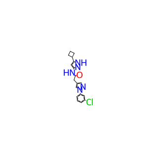 O=C(Cc1cnn(-c2cccc(Cl)c2)c1)Nc1cc(C2CCC2)[nH]n1